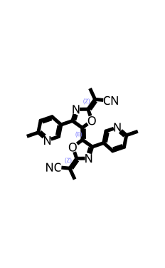 C/C(C#N)=c1\nc(-c2ccc(C)nc2)/c(=c2\o/c(=C(/C)C#N)nc2-c2ccc(C)nc2)o1